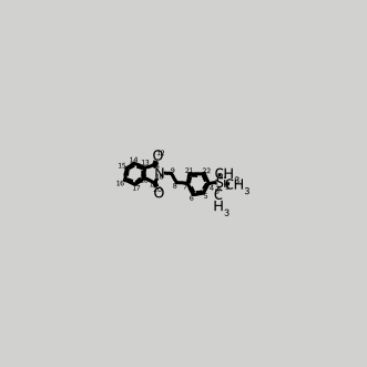 C[Si](C)(C)c1ccc(CCN2C(=O)c3ccccc3C2=O)cc1